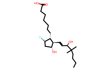 CCCCC(C)(C)[C@H](O)C=C[C@@H]1[C@@H](CCCCCCC(=O)O)[C@H](F)C[C@H]1O